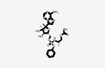 C[C@@H](COC(=O)C(C)(C)C)NP(=O)(OC[C@H]1O[C@@](C)(c2cnc3c(N)ncnn23)[C@](C)(O)[C@@H]1O)Oc1ccccc1